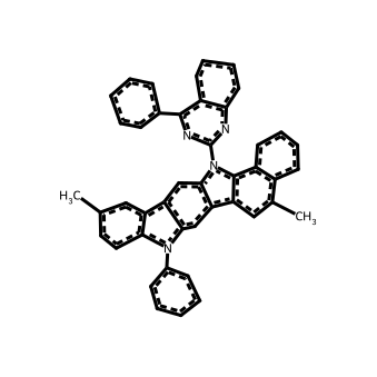 Cc1ccc2c(c1)c1cc3c(cc1n2-c1ccccc1)c1cc(C)c2ccccc2c1n3-c1nc(-c2ccccc2)c2ccccc2n1